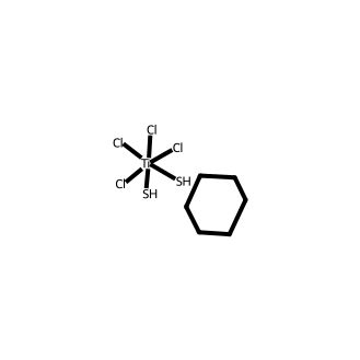 C1CCCCC1.[SH][Ti]([SH])([Cl])([Cl])([Cl])[Cl]